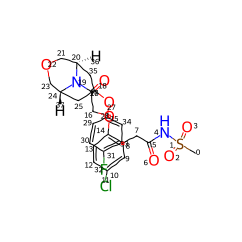 CS(=O)(=O)NC(=O)Cc1cc(Cl)ccc1OCC(=O)N1[C@H]2COC[C@H]1CC(Oc1ccc(F)cc1)C2